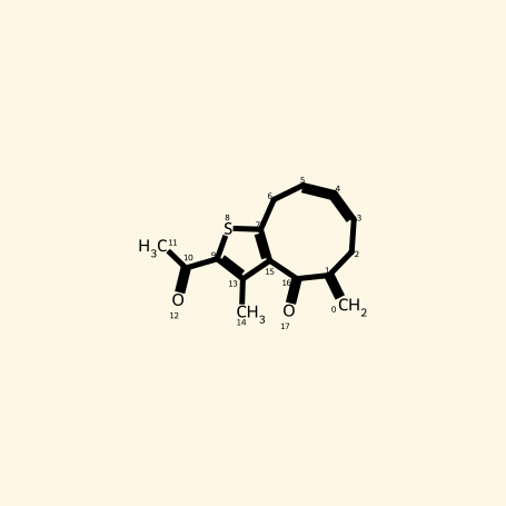 C=C1CC=C=CCc2sc(C(C)=O)c(C)c2C1=O